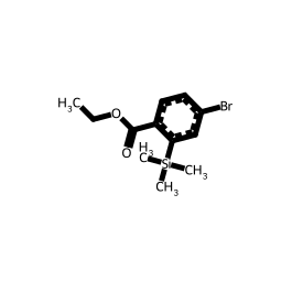 CCOC(=O)c1ccc(Br)cc1[Si](C)(C)C